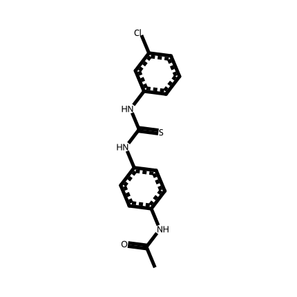 CC(=O)Nc1ccc(NC(=S)Nc2cccc(Cl)c2)cc1